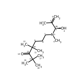 C=C(C)[C@@H](O)N(C)CCCC(C)(C)C(=O)C(C)(C)C